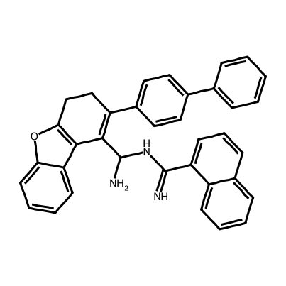 N=C(NC(N)C1=C(c2ccc(-c3ccccc3)cc2)CCc2oc3ccccc3c21)c1cccc2ccccc12